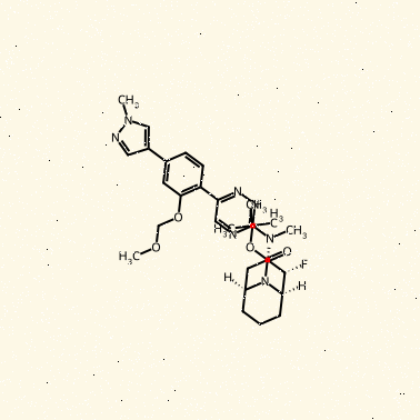 COCOc1cc(-c2cnn(C)c2)ccc1-c1cnc(N(C)[C@H]2C[C@@H]3CCC[C@H]([C@H]2F)N3C(=O)OC(C)(C)C)nn1